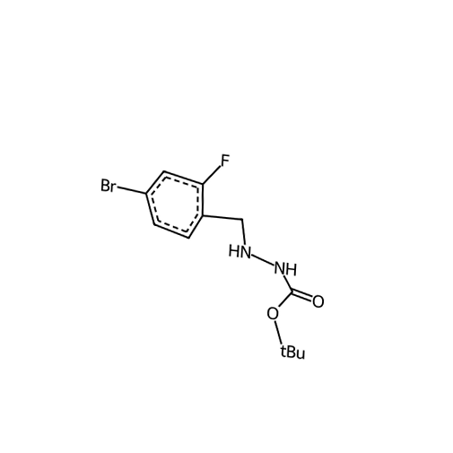 CC(C)(C)OC(=O)NNCc1ccc(Br)cc1F